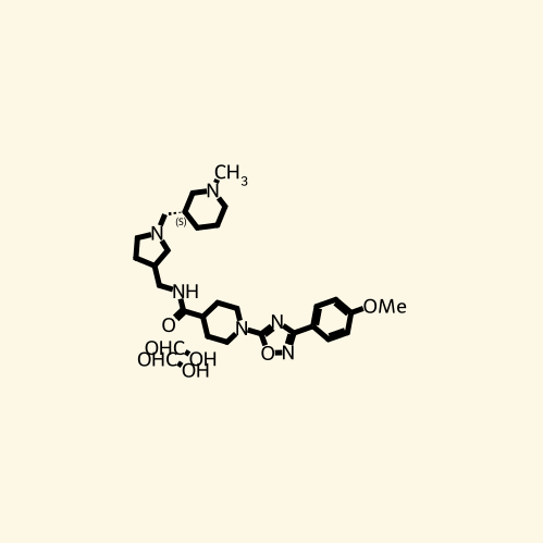 COc1ccc(-c2noc(N3CCC(C(=O)NCC4CCN(C[C@H]5CCCN(C)C5)C4)CC3)n2)cc1.O=CO.O=CO